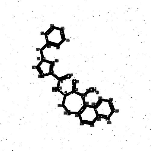 CN1C(=O)[C@@H](NC(=O)c2ncn(Cc3ccccc3)n2)CSc2ccc3ncccc3c21